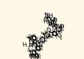 COc1ccc(C(=O)N2C[C@H](C)N(C3CCN(c4nc(C(CN)(OC5CC5)c5ccccc5)c5cc(-c6cn(C)c(=O)c7[nH]ccc67)ccc5n4)CC3)C[C@H]2C)cc1N1CCC(=O)N(CNC(=O)C(CC(N)=O)NC(C)=O)C1=O